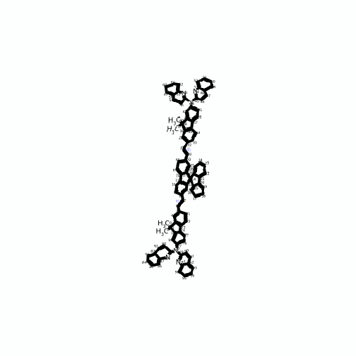 CC1(C)c2cc(/C=C/c3ccc4c(c3)C3(c5ccccc5-c5ccccc53)c3cc(/C=C/c5ccc6c(c5)C(C)(C)c5cc(N(c7ccc8ccccc8n7)c7ccc8ccccc8n7)ccc5-6)ccc3-4)ccc2-c2ccc(N(c3ccc4ccccc4n3)c3ccc4ccccc4n3)cc21